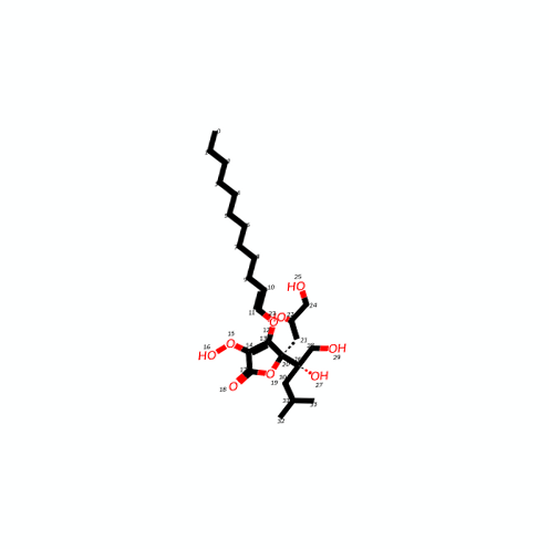 CCCCCCCCCCC=COC1=C(OO)C(=O)O[C@]1(CC(O)CO)[C@@](O)(CO)CC(C)C